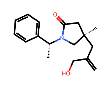 C=C(CO)C[C@]1(C)CC(=O)N([C@H](C)c2ccccc2)C1